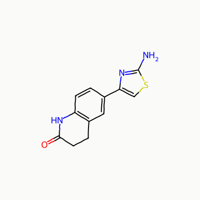 Nc1nc(-c2ccc3c(c2)CCC(=O)N3)cs1